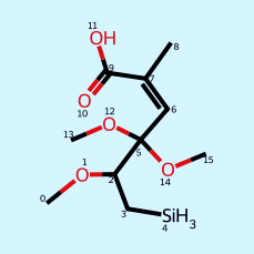 COC(C[SiH3])C(C=C(C)C(=O)O)(OC)OC